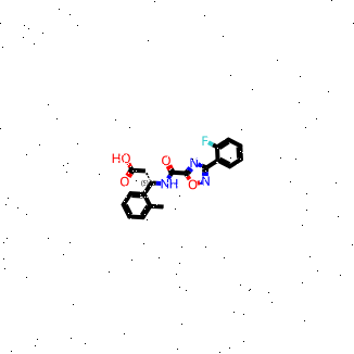 Cc1ccccc1[C@H](CC(=O)O)NC(=O)c1nc(-c2ccccc2F)no1